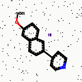 CCCCCCCCOc1ccc2cc(-c3ccncc3)ccc2c1.I